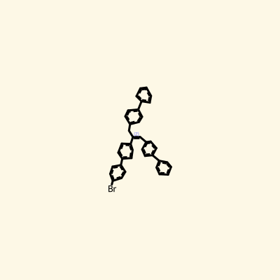 Brc1ccc(-c2ccc(/C(=C\c3ccc(-c4ccccc4)cc3)Cc3ccc(-c4ccccc4)cc3)cc2)cc1